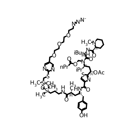 CCCC(=O)OCN(C(=O)[C@H](NC(=O)[C@@H]1CCCCN1C)[C@@H](C)CC)[C@@H](C[C@H](OC(C)=O)c1nc(C(=O)N[C@H](Cc2ccc(O)cc2)C[C@@H](C)C(=O)NCCC[Si](C)(C)O[Si](C)(C)CSc2ncc(COCCOCCOCCN=[N+]=[N-])cn2)cs1)C(C)C